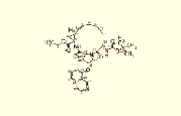 CCOC(=O)[C@@]12C[C@H]1/C=C\CCCCC[C@H](NC(=O)OC(C)(C)C)C(=O)N1C[C@H](Oc3cccc4ccncc34)C[C@H]1C(=O)N2